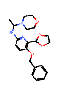 CC(Nc1ccc(OCc2ccccc2)c(C2OCCO2)n1)N1CCOCC1